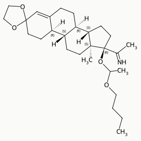 CCCCOC(C)O[C@]1(C(C)=N)CC[C@H]2[C@@H]3CCC4=CC5(CC[C@@H]4[C@H]3CC[C@@]21C)OCCO5